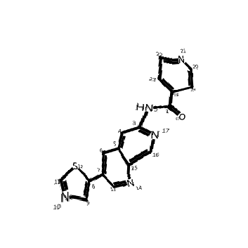 O=C(Nc1cc2cc(-c3cncs3)cnc2cn1)c1ccncc1